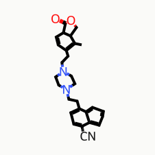 CC1=C(CCN2CCN(CCc3ccc(C#N)c4ccccc34)CC2)C=CC2C(=O)OCC12